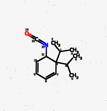 CC(C)C1(C(C)C)C=CC=CC1N=C=O